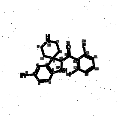 CC(C)c1ccc2c(c1)C1(CCNCC1)C(C(=O)c1c(F)cccc1F)N2